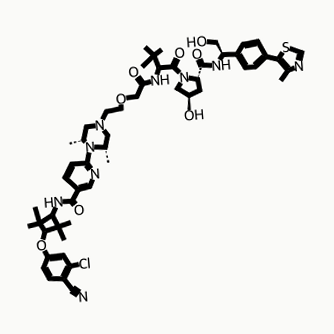 Cc1ncsc1-c1ccc([C@H](CO)NC(=O)[C@@H]2C[C@@H](O)CN2C(=O)C(NC(=O)COCCN2C[C@@H](C)N(c3ccc(C(=O)NC4C(C)(C)C(Oc5ccc(C#N)c(Cl)c5)C4(C)C)cn3)[C@@H](C)C2)C(C)(C)C)cc1